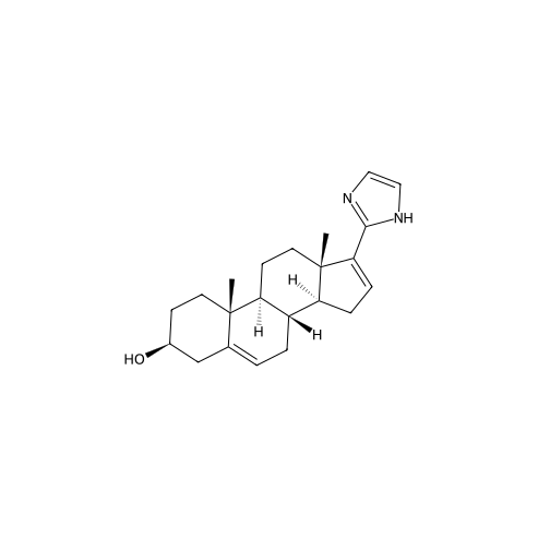 C[C@]12CC[C@H](O)CC1=CC[C@@H]1[C@@H]2CC[C@]2(C)C(c3ncc[nH]3)=CC[C@@H]12